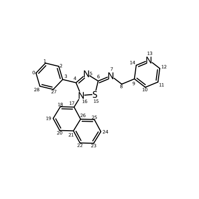 c1ccc(-c2nc(=NCc3cccnc3)sn2-c2cccc3ccccc23)cc1